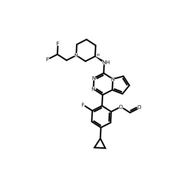 O=COc1cc(C2CC2)cc(F)c1-c1nnc(N[C@@H]2CCCN(CC(F)F)C2)n2cccc12